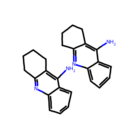 Nc1c2c(nc3ccccc13)CCCC2.Nc1c2c(nc3ccccc13)CCCC2